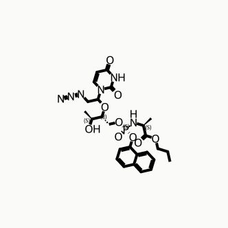 CCCOC(=O)[C@H](C)N[P@](=O)(OC[C@@H](OC(CN=[N+]=[N-])n1ccc(=O)[nH]c1=O)[C@H](C)O)Oc1cccc2ccccc12